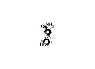 NC(=O)c1ccc(NC2CCNCC2)nc1